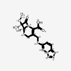 CO[C@@]1(N)C(=O)N2C(C(=O)O)=C(CSc3ccc4nnnn4n3)CS[C@H]21